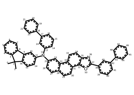 CC1(C)c2ccccc2-c2cc(N(c3cccc(-c4ccccc4)c3)c3ccc4ccc5c(ccc6nc(-c7cccc(-c8ccccc8)c7)oc65)c4c3)ccc21